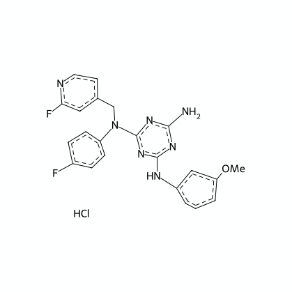 COc1cccc(Nc2nc(N)nc(N(Cc3ccnc(F)c3)c3ccc(F)cc3)n2)c1.Cl